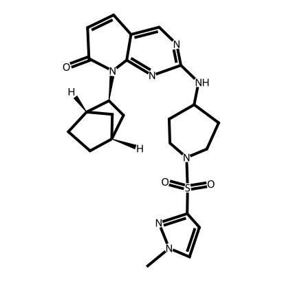 Cn1ccc(S(=O)(=O)N2CCC(Nc3ncc4ccc(=O)n([C@H]5C[C@@H]6CC[C@H]5C6)c4n3)CC2)n1